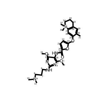 COc1nc(NCCCN(C)C)nc(OC)c1NC(=O)c1ccc(Oc2cc3c(cc2C)CCC[Si]3(C)C)o1